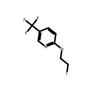 FC(F)(F)c1ccc(OCCI)nc1